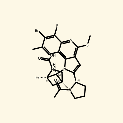 CSc1nc2c(F)c(Br)c(C)cc2c2c1cc([C@H]1CCCN1C(C)=O)n2[C@H]1[C@@H]2C[C@H]1N(C(=O)O)C2